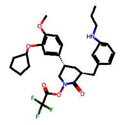 CCCNc1cccc(C[C@@H]2C[C@@H](c3ccc(OC)c(OC4CCCC4)c3)CN(OC(=O)C(F)(F)F)C2=O)c1